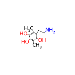 Cc1c(O)c(O)c(C)c(CCN)c1O